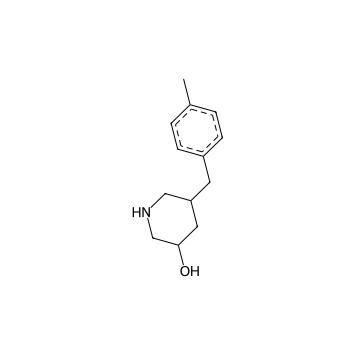 Cc1ccc(CC2CNCC(O)C2)cc1